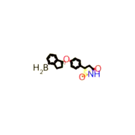 Bc1cccc2c1CC[C@H]2Oc1ccc(C2CC(=O)N[S+]2[O-])cc1